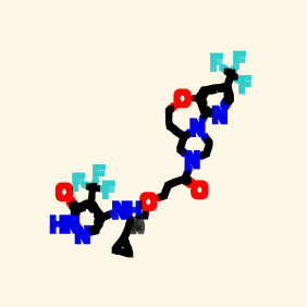 O=C(CCOC[C@@H](Nc1cn[nH]c(=O)c1C(F)(F)F)C1CC1)N1CCN2c3ncc(C(F)(F)F)cc3OCCC2C1